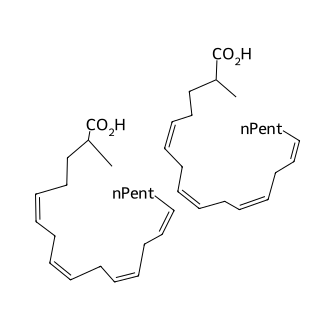 CCCCC/C=C\C/C=C\C/C=C\C/C=C\CCC(C)C(=O)O.CCCCC/C=C\C/C=C\C/C=C\C/C=C\CCC(C)C(=O)O